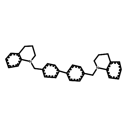 c1ccc2c(c1)CCCN2Cc1ccc(-c2ccc(CN3CCCc4ccccc43)cc2)cc1